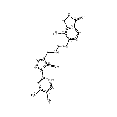 Cc1cc(-n2[nH]cc(CNCCc3ccc4c(c3C)COC4=O)c2=O)ncc1C#N